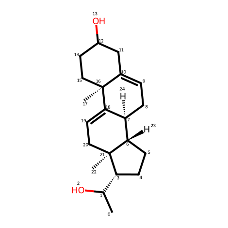 CC(O)[C@H]1CC[C@H]2[C@@H]3CC=C4CC(O)CC[C@]4(C)C3=CC[C@]12C